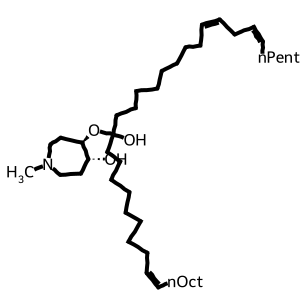 CCCCC/C=C\C/C=C\CCCCCCCCC(O)(CCCCCCCC/C=C\CCCCCCCC)O[C@@H]1CCN(C)CC[C@H]1O